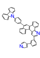 c1cc(-c2ccncc2)cc(-c2cnc3c4ccccc4c4cc(-c5ccc(-n6c7ccccc7c7ccccc76)cc5)c5ccccc5c4c3c2)c1